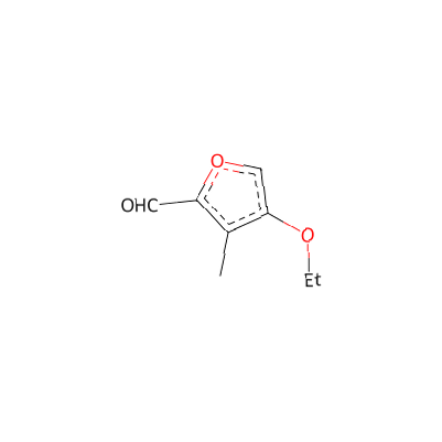 CCOc1coc(C=O)c1C